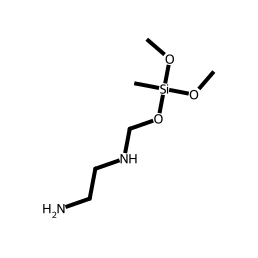 CO[Si](C)(OC)OCNCCN